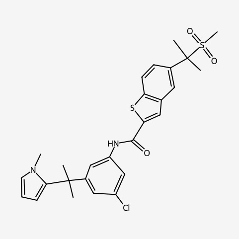 Cn1cccc1C(C)(C)c1cc(Cl)cc(NC(=O)c2cc3cc(C(C)(C)S(C)(=O)=O)ccc3s2)c1